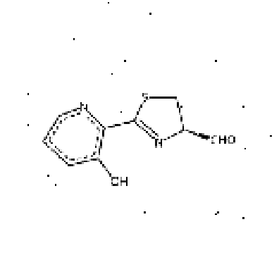 O=C[C@@H]1CSC(c2ncccc2O)=N1